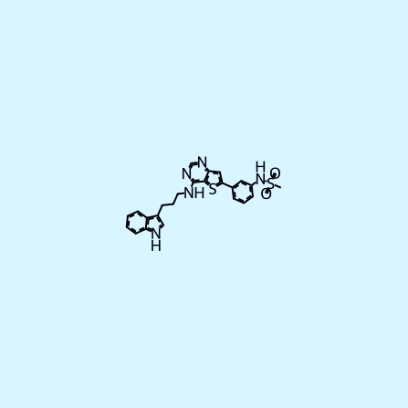 CS(=O)(=O)Nc1cccc(-c2cc3ncnc(NCCCc4c[nH]c5ccccc45)c3s2)c1